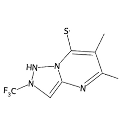 CC1=NC2=CN(C(F)(F)F)NN2C([S])=C1C